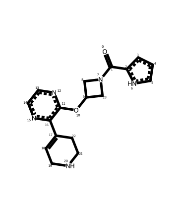 O=C(c1ccc[nH]1)N1CC(Oc2nccnc2C2=CCNCC2)C1